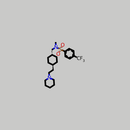 CN(C[C@H]1CC[C@H](CCN2CCCCC2)CC1)S(=O)(=O)c1ccc(C(F)(F)F)cc1